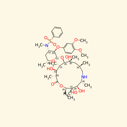 CC[C@H]1OC(=O)[C@H](C)[C@@H](O)[C@H](C)[C@@H](O[C@@H]2O[C@H](C)C[C@H](N(C)S(=O)(=O)c3ccccc3)[C@H]2Oc2ccc(OC)c(OC)c2)[C@](C)(O)C[C@@H](C)CN[C@H](C)[C@@H](O)[C@]1(C)O